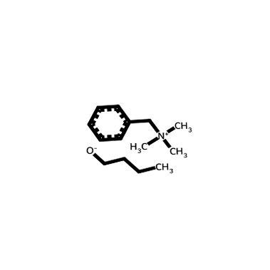 CCCC[O-].C[N+](C)(C)Cc1ccccc1